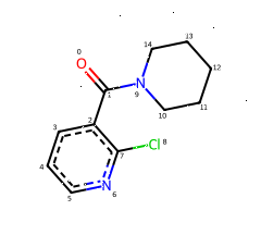 O=C(c1cccnc1Cl)N1CCCCC1